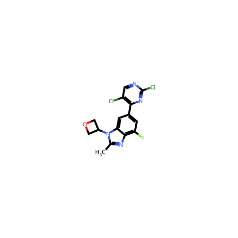 Cc1nc2c(F)cc(-c3nc(Cl)ncc3Cl)cc2n1C1COC1